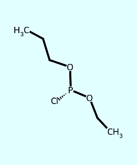 CCCO[P@@](Cl)OCC